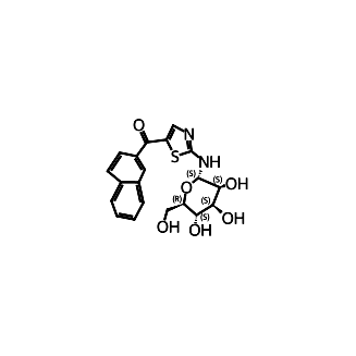 O=C(c1ccc2ccccc2c1)c1cnc(N[C@H]2O[C@H](CO)[C@@H](O)[C@H](O)[C@@H]2O)s1